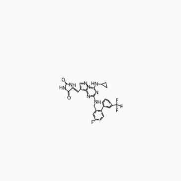 O=C1NC(=O)/C(=C/c2cnn3c(NC4CC4)nc(NCc4cc(F)ccc4-c4cccc(C(F)(F)F)c4)nc23)N1